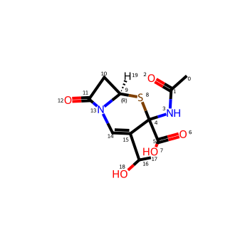 CC(=O)NC1(C(=O)O)S[C@@H]2CC(=O)N2C=C1C(C)O